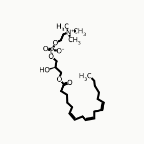 CCCCC/C=C\C/C=C\C/C=C\CCCCC(=O)OC[C@@H](O)COP(=O)([O-])OCC[N+](C)(C)C